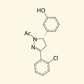 CC(=O)N1N=C(c2ccccc2Cl)C[C@H]1c1cccc(O)c1